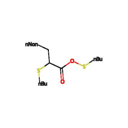 CCCCCCCCCCC(SCCCC)C(=O)OSCCCC